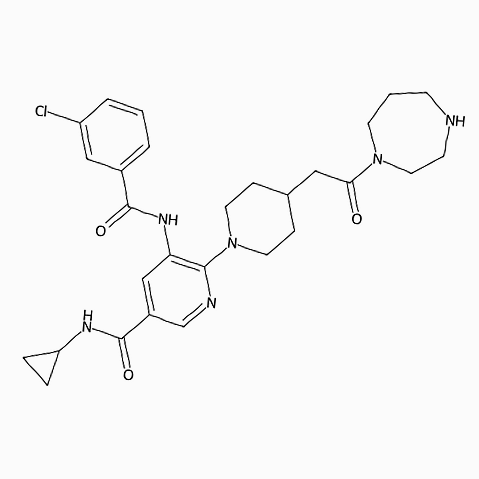 O=C(Nc1cc(C(=O)NC2CC2)cnc1N1CCC(CC(=O)N2CCCNCC2)CC1)c1cccc(Cl)c1